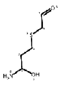 NC(O)CCSCC=O